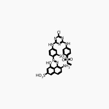 C=CS(=O)(=O)c1ccc(Nc2nc(Cl)nc(Nc3ccc(N=Nc4c(N)ccc5cc(S(=O)(=O)O)cc(O)c45)c(S(=O)(=O)O)c3)n2)cc1